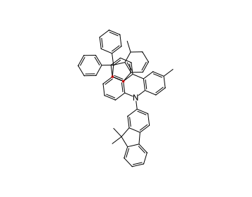 Cc1ccc(N(c2ccc3c(c2)C(C)(C)c2ccccc2-3)c2cccc3c2C2=C(C(C)CC=C2)C3(c2ccccc2)c2ccccc2)c(-c2ccccc2)c1